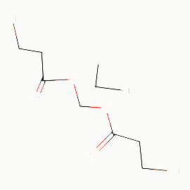 CCC.O=C(CCS)OCOC(=O)CCS